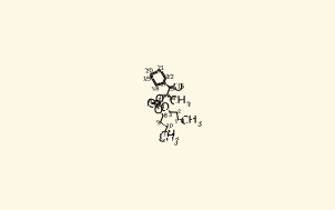 CCCCOP(=O)(OCCCC)OC(C)C(=O)c1ccccc1